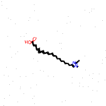 Cc1nc(CCCCCCCCCCCCCCCCCCCC(=O)O)cn1C